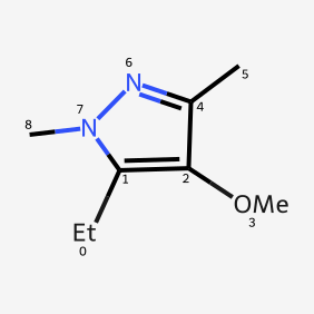 CCc1c(OC)c(C)nn1C